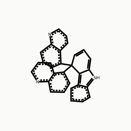 C1=CC(c2cccc3ncccc23)(c2cccc3ncccc23)C2=c3ccccc3=[SiH]C2=C1